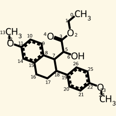 CCOC(=O)C(O)C1c2ccc(OC)cc2CCC1c1ccc(OC)cc1